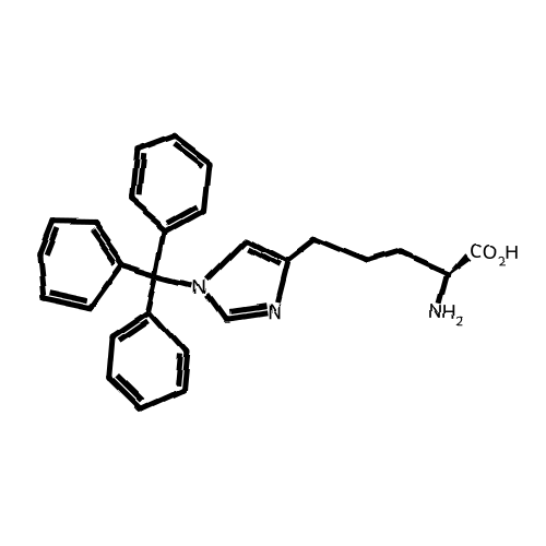 N[C@@H](CCCc1cn(C(c2ccccc2)(c2ccccc2)c2ccccc2)cn1)C(=O)O